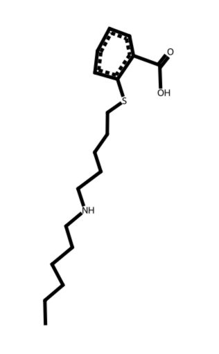 CCCCCCNCCCCCSc1ccccc1C(=O)O